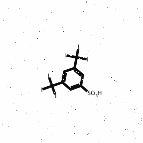 O=S(=O)(O)c1cc(C(I)(I)I)cc(C(I)(I)I)c1